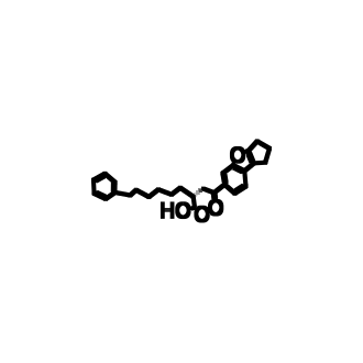 O=C(C[C@@H](CCCCCCc1ccccc1)C(=O)O)c1ccc2c3c(oc2c1)CCC3